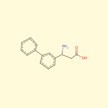 NC(CC(=O)O)c1cccc(-c2ccccc2)c1